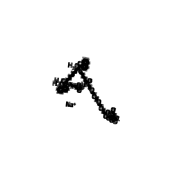 CC1(C)C(/C=C/C=C/C=C/C=C2\N(CCCCS(=O)(=O)[O-])c3ccc4ccccc4c3C2(C)C)=[N+](CCCCCC(=O)NCCOCCOCCOCCOCCC(=O)ON2C(=O)CC(S(=O)(=O)[O-])C2=O)c2ccc3ccccc3c21.[Na+]